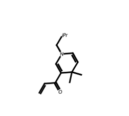 C=CC(=O)C1=CN(CC(C)C)C=CC1(C)C